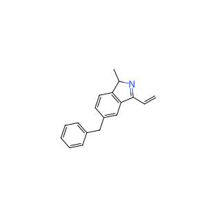 C=CC1=NC(C)c2ccc(Cc3ccccc3)cc21